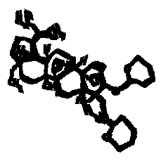 C=C(C)[C@@H]1CC[C@]2(CC)CC[C@]3(C)[C@H](CC[C@@H]4[C@@]5(C)CC[C@H](OC6CCCCO6)C(C)(COC6CCCCO6)[C@@H]5CC[C@]43C)[C@@H]12